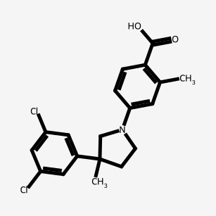 Cc1cc(N2CCC(C)(c3cc(Cl)cc(Cl)c3)C2)ccc1C(=O)O